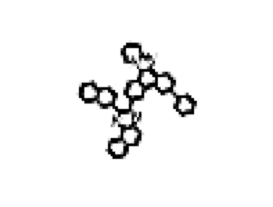 c1ccc(-c2ccc3c(c2)c2cc(-c4nc5ccc6ccccc6c5nc4-c4ccc5ccccc5c4)ccc2c2c3nc3ccccn32)cc1